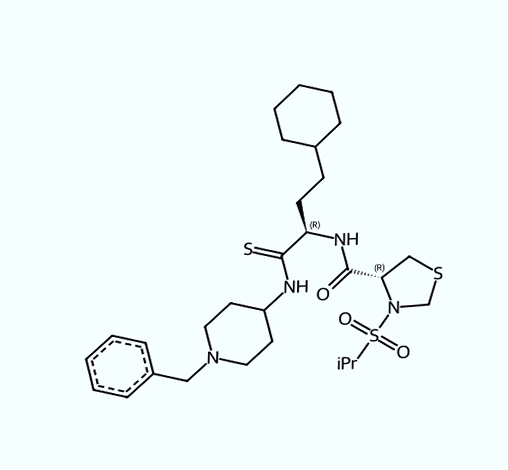 CC(C)S(=O)(=O)N1CSC[C@H]1C(=O)N[C@H](CCC1CCCCC1)C(=S)NC1CCN(Cc2ccccc2)CC1